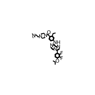 CCc1cc(Nc2nccn3c(-c4ccc(OC(C)C)c(F)c4F)cnc23)ccc1C(=O)N1CCN(CCN(C)C)CC1